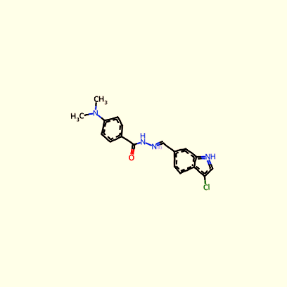 CN(C)c1ccc(C(=O)N/N=C/c2ccc3c(Cl)c[nH]c3c2)cc1